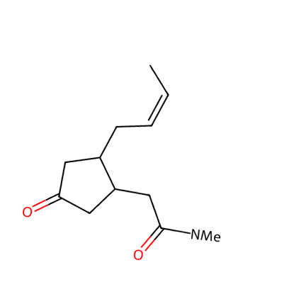 C/C=C\CC1CC(=O)CC1CC(=O)NC